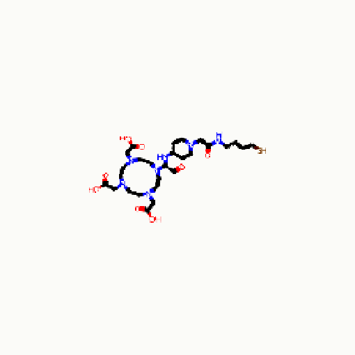 O=CC(NC1CCN(CC(=O)NCCCCS)CC1)N1CCN(CC(=O)O)CCN(CC(=O)O)CCN(CC(=O)O)CC1